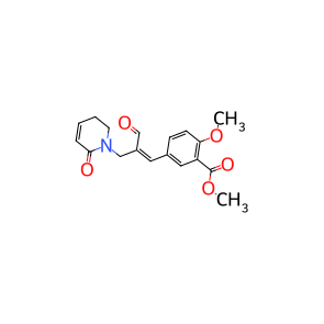 COC(=O)c1cc(/C=C(\C=O)CN2CCC=CC2=O)ccc1OC